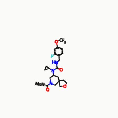 CNC(=O)N1CC(N(C(=O)NCc2ccc(OC(F)(F)F)cc2F)C2CC2)CC2(CCOC2)C1